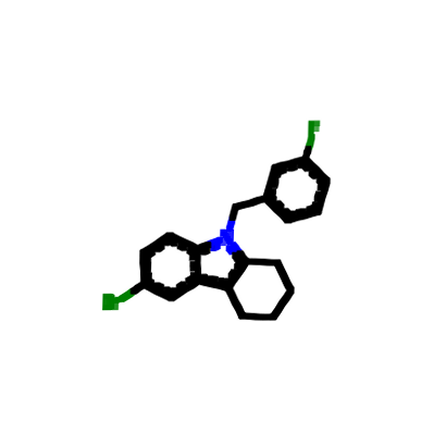 Fc1cccc(Cn2c3c(c4cc(Br)ccc42)CCCC3)c1